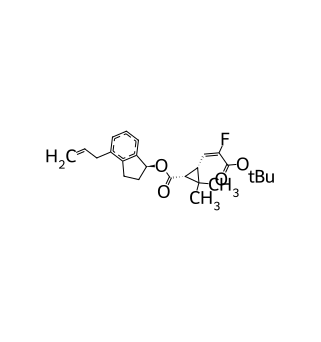 C=CCc1cccc2c1CC[C@@H]2OC(=O)[C@@H]1[C@H](/C=C(/F)C(=O)OC(C)(C)C)C1(C)C